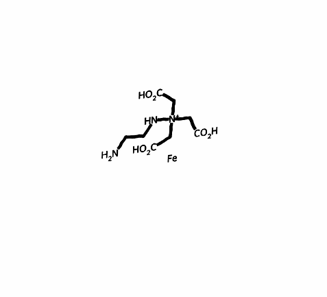 NCCN[N+](CC(=O)O)(CC(=O)O)CC(=O)O.[Fe]